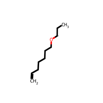 C=CCCCCCO[CH]CC